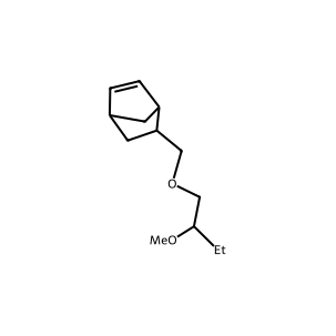 CCC(COCC1CC2C=CC1C2)OC